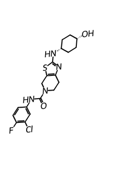 O=C(Nc1ccc(F)c(Cl)c1)N1CCc2nc(N[C@H]3CC[C@@H](O)CC3)sc2C1